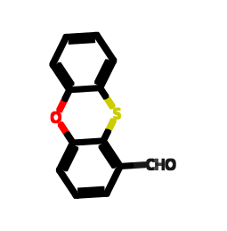 O=Cc1cccc2c1Sc1ccccc1O2